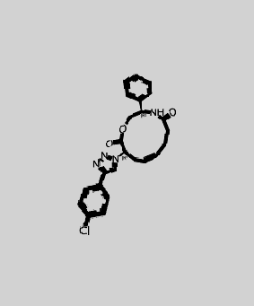 O=C1CCC=CC[C@@H](n2cc(-c3ccc(Cl)cc3)nn2)C(=O)OC[C@@H](c2ccccc2)N1